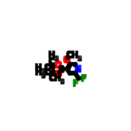 COc1cnc(C(F)F)cc1B1OC(C)(C)C(C)(C)O1